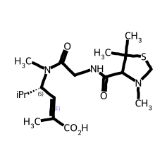 C/C(=C\[C@H](C(C)C)N(C)C(=O)CNC(=O)C1N(C)CSC1(C)C)C(=O)O